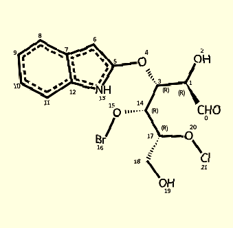 O=C[C@H](O)[C@@H](Oc1cc2ccccc2[nH]1)[C@@H](OBr)[C@@H](CO)OCl